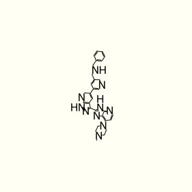 CN1CCN(c2ccnc3[nH]c(-c4n[nH]c5ncc(-c6cncc(CNCc7ccccc7)c6)cc45)nc23)CC1